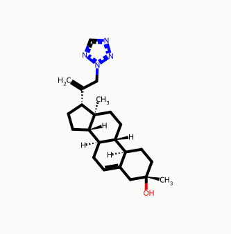 C=C(Cn1ncnn1)[C@H]1CC[C@H]2[C@@H]3CC=C4C[C@@](C)(O)CC[C@@H]4[C@H]3CC[C@]12C